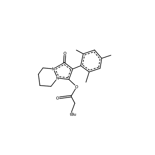 Cc1cc(C)c(-c2c(OC(=O)CC(C)(C)C)n3n(c2=O)CCCC3)c(C)c1